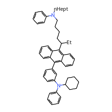 CCCCCCCN(CCCCC(CC)c1c2ccccc2c(-c2cccc(N(c3ccccc3)C3CCCCC3)c2)c2ccccc12)c1ccccc1